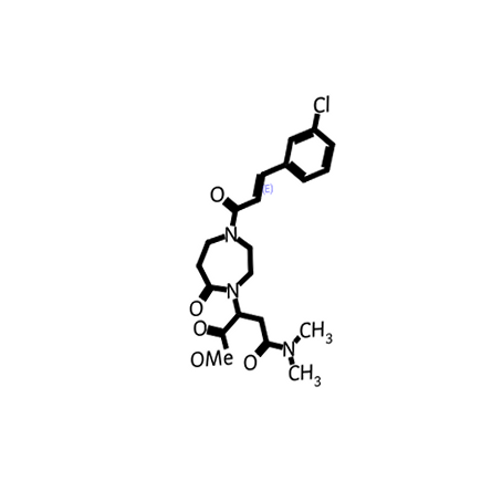 COC(=O)C(CC(=O)N(C)C)N1CCN(C(=O)/C=C/c2cccc(Cl)c2)CCC1=O